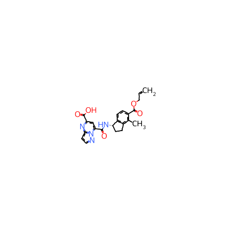 C=CCOC(=O)c1ccc2c(c1C)CC[C@@H]2NC(=O)c1cc(C(=O)O)nc2ccnn12